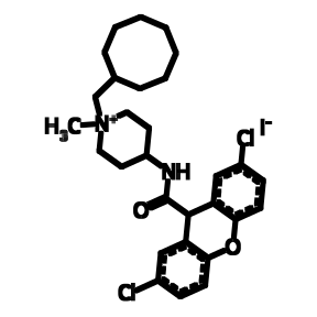 C[N+]1(CC2CCCCCCC2)CCC(NC(=O)C2c3cc(Cl)ccc3Oc3ccc(Cl)cc32)CC1.[I-]